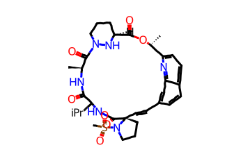 CC(C)C1NC(=O)[C@@]2(/C=C/c3ccc4ccc(nc4c3)[C@@H](C)OC(=O)[C@@H]3CCCN(N3)C(=O)[C@H](C)NC1=O)CCCN2S(C)(=O)=O